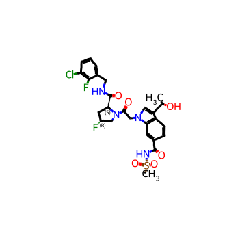 CC(O)c1cn(CC(=O)N2C[C@H](F)C[C@H]2C(=O)NCc2cccc(Cl)c2F)c2cc(C(=O)NS(C)(=O)=O)ccc12